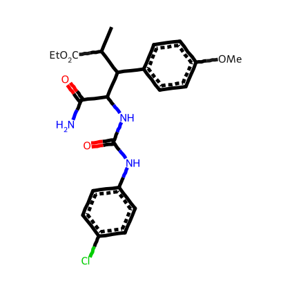 CCOC(=O)C(C)C(c1ccc(OC)cc1)C(NC(=O)Nc1ccc(Cl)cc1)C(N)=O